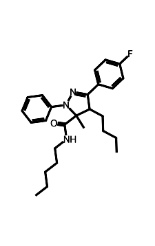 CCCCCNC(=O)C1(C)C(CCCC)C(c2ccc(F)cc2)=NN1c1ccccc1